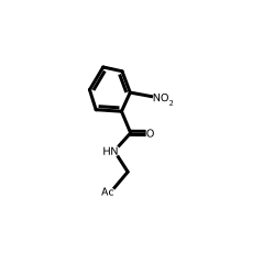 CC(=O)CNC(=O)c1ccccc1[N+](=O)[O-]